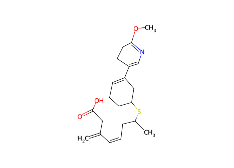 C=C(/C=C\CC(C)SC1CCC=C(C2=CN=C(OC)CC2)C1)CC(=O)O